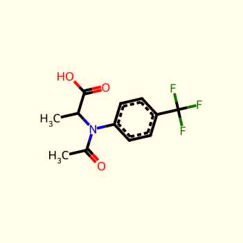 CC(=O)N(c1ccc(C(F)(F)F)cc1)C(C)C(=O)O